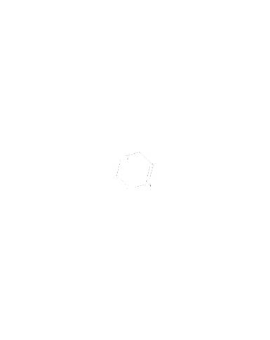 [C]1=NOCOC1